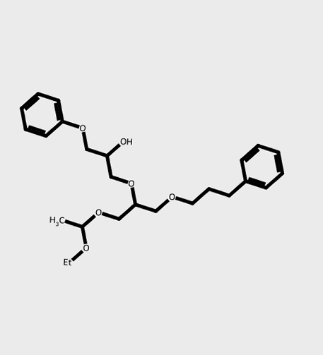 CCOC(C)OCC(COCCCc1ccccc1)OCC(O)COc1ccccc1